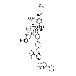 Cc1ccccc1[C@@H]1CN([C@H]2CCOc3nc(N4CCOCC4)ccc32)CCN1C1CC2(CCN(c3ccc(C(=O)NS(=O)(=O)c4ccc(NCC5CCOCC5)c([N+](=O)[O-])c4)c(N4c5cc6cc[nH]c6nc5O[C@H]5COCC[C@@H]54)c3)CC2)C1